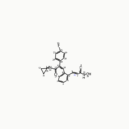 O=C(/C=C/c1ccccc1C=C(C(=O)NC1CC1)c1ccc(F)cc1)NO